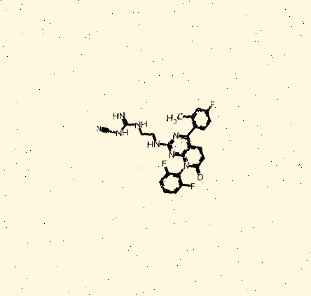 Cc1cc(F)ccc1-c1nc(NCCNC(=N)NC#N)nc2c1ccc(=O)n2-c1c(F)cccc1F